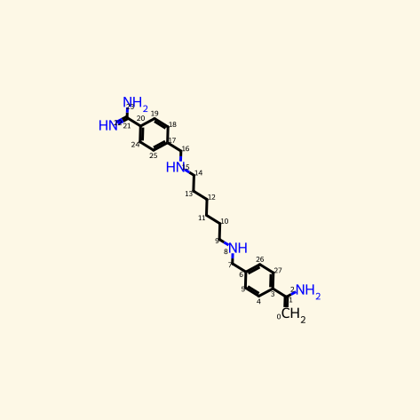 C=C(N)c1ccc(CNCCCCCCNCc2ccc(C(=N)N)cc2)cc1